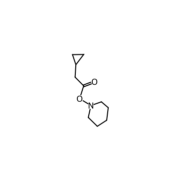 O=C(CC1CC1)ON1CCCCC1